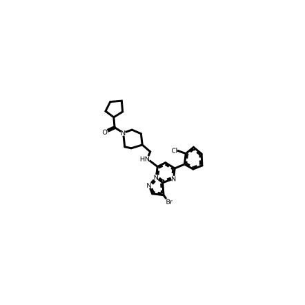 O=C(C1CCCC1)N1CCC(CNc2cc(-c3ccccc3Cl)nc3c(Br)cnn23)CC1